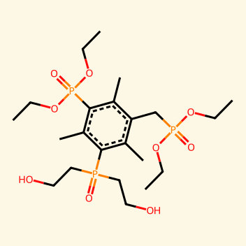 CCOP(=O)(Cc1c(C)c(P(=O)(CCO)CCO)c(C)c(P(=O)(OCC)OCC)c1C)OCC